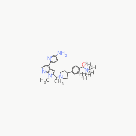 [2H]C([2H])([2H])N(C(=O)c1ccc(C2CCN(C(C)c3cc4c(-c5ccc(N)cn5)ccnc4n3C)CC2)cc1)C([2H])([2H])[2H]